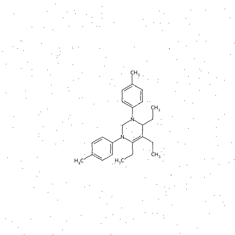 CCC1=C(CC)N(c2ccc(C)cc2)[CH]N(c2ccc(C)cc2)C1CC